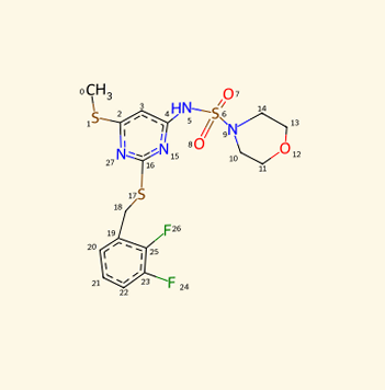 CSc1cc(NS(=O)(=O)N2CCOCC2)nc(SCc2cccc(F)c2F)n1